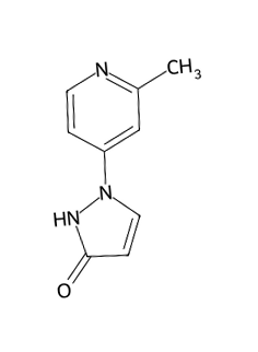 Cc1cc(-n2ccc(=O)[nH]2)ccn1